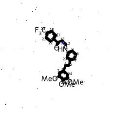 COc1cc(C=Cc2cccc(N/C=C\C(=O)c3ccc(C(F)(F)F)cc3)c2)cc(OC)c1OC